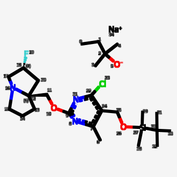 CCC(C)(C)[O-].Cc1nc(OC[C@@]23CCCN2C[C@H](F)C3)nc(Cl)c1CO[Si](C)(C)C(C)(C)C.[Na+]